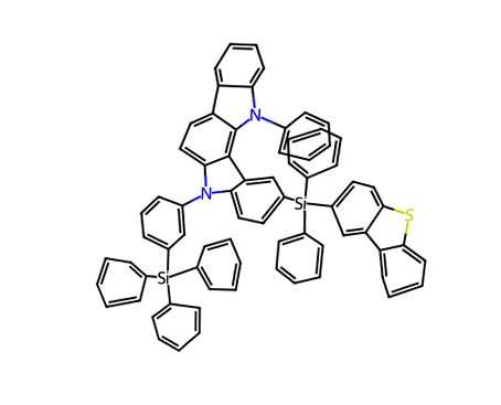 c1ccc(-n2c3ccccc3c3ccc4c(c5cc([Si](c6ccccc6)(c6ccccc6)c6ccc7sc8ccccc8c7c6)ccc5n4-c4cccc([Si](c5ccccc5)(c5ccccc5)c5ccccc5)c4)c32)cc1